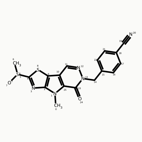 Cn1c2nc([S+](C)[O-])sc2c2cnn(Cc3ccc(C#N)cc3)c(=O)c21